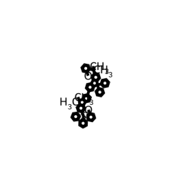 CC1(C)c2ccccc2Oc2c1ccc1c2-c2ccc(-c3ccc4c(c3)C(C)(C)c3ccc5c(c3-4)Oc3ccccc3[Si]5(c3ccccc3)c3ccccc3)cc2C1(c1ccccc1)c1ccccc1